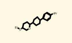 CCCc1ccc(C2CCC(C3CCC(OCC)CO3)CC2)cc1